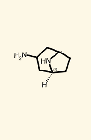 NC1C[C]2CC[C@@H](C1)N2